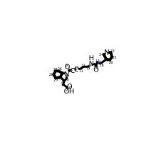 O=C(O)CC1CN(C(=O)CCCCCNC(=O)/C=C/c2cccnc2)c2ccccc21